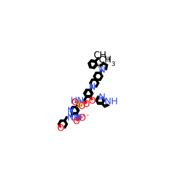 CC(C)c1ccccc1[C@@H]1CCCN1C1CCC2(CC1)CCN(c1ccc(C(=O)NS(=O)(=O)c3cnc(NCC4CCOCC4)c([N+](=O)[O-])c3)c(Oc3cnc4[nH]ccc4c3)c1)CC2